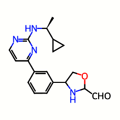 C[C@H](Nc1nccc(-c2cccc(C3COC(C=O)N3)c2)n1)C1CC1